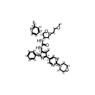 COCCN1C[C@@H](NC(=O)Nc2c(C)c(-c3cnc(N4CCOCC4)nc3)nn2-c2ccccc2)[C@H](c2ccnc(F)c2)O1